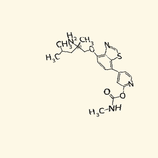 CNC(=O)Oc1cc(-c2ccc(OC[C@@](C)(N)CC(C)C)c3ncsc23)ccn1